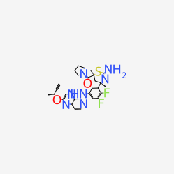 C#C[C@H](C)Oc1cnc2c(Nc3cc(F)c(F)c([C@]4(C)C[C@](C)(C(=O)N5CCCC5)SC(N)=N4)c3)nccc2n1